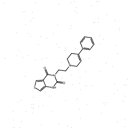 O=c1[nH]c2cscc2c(=O)n1CCN1CC=C(c2ccccc2)CC1